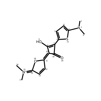 CN(C)c1ccc(C2=C(O)/C(=C3/C=CC(=[N+](C)C)O3)C2=O)s1